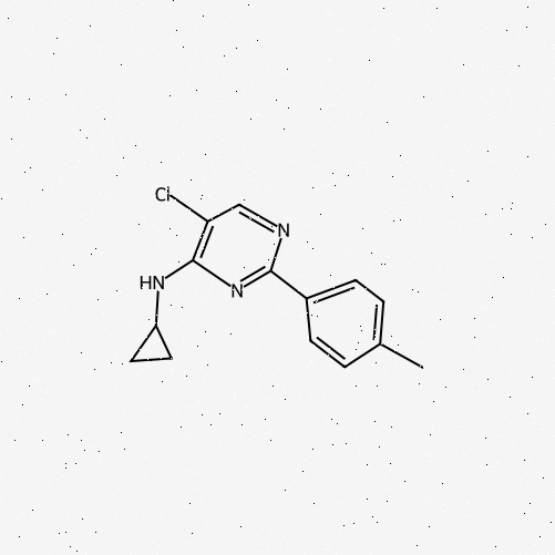 Cc1ccc(-c2ncc(Cl)c(NC3CC3)n2)cc1